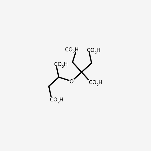 O=C(O)CC(OC(CC(=O)O)(CC(=O)O)C(=O)O)C(=O)O